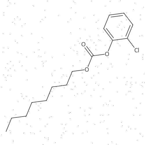 CCCCCCCCOC(=O)Oc1ccccc1Cl